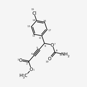 COC(=O)C#CC(OC(N)=O)c1ccc(Cl)cc1